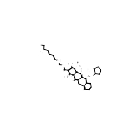 C[C@H]1[C@H]2C(=C(O)[C@]3(O)C(=O)C(C(=O)NCNCCCCC(N)C(=O)O)=C(O)[C@@H](N(C)C)[C@H]13)C(=O)c1c(O)cccc1[C@@H]2CSC1CCCC1